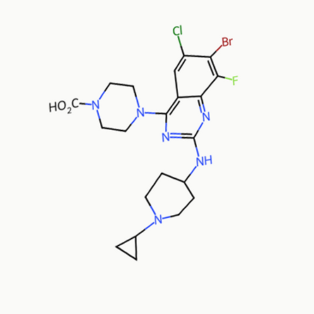 O=C(O)N1CCN(c2nc(NC3CCN(C4CC4)CC3)nc3c(F)c(Br)c(Cl)cc23)CC1